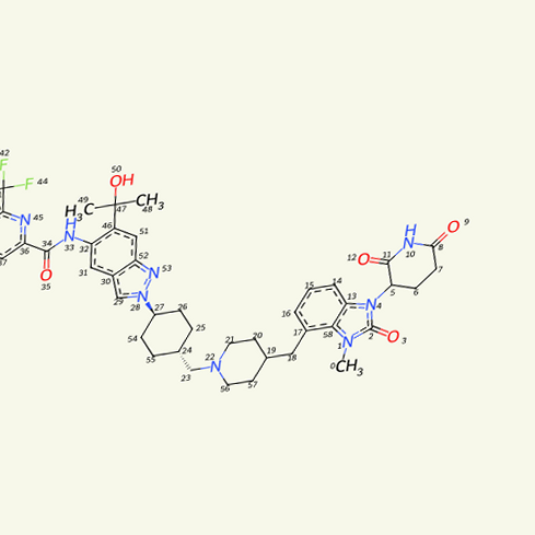 Cn1c(=O)n(C2CCC(=O)NC2=O)c2cccc(CC3CCN(C[C@H]4CC[C@H](n5cc6cc(NC(=O)c7cccc(C(F)(F)F)n7)c(C(C)(C)O)cc6n5)CC4)CC3)c21